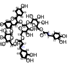 O=C(/C=C/c1ccc(O)c(O)c1)OCC1O[C@@H](OC2[C@H](Oc3cc4c(O[C@@H]5OC(CO)[C@@H](O)[C@H](O)C5O)cc(O)cc4[o+]c3-c3ccc(O)cc3)OC(COC(=O)/C=C/c3ccc(O)c(O)c3)[C@@H](O)[C@@H]2O)C(O)[C@@H](O)[C@@H]1O